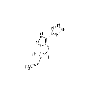 C=C[C@@H]1[C@@H]2Cc3c(n[nH]c3-c3nn[nH]n3)[C@H]12